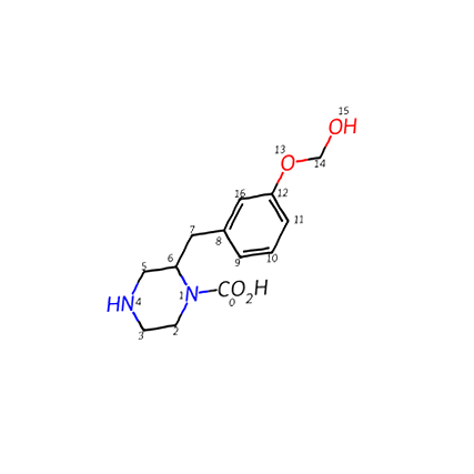 O=C(O)N1CCNCC1Cc1cccc(OCO)c1